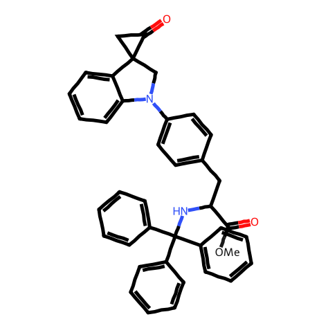 COC(=O)C(Cc1ccc(N2CC3(CC3=O)c3ccccc32)cc1)NC(c1ccccc1)(c1ccccc1)c1ccccc1